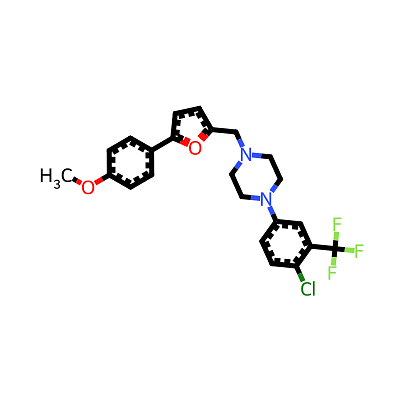 COc1ccc(-c2ccc(CN3CCN(c4ccc(Cl)c(C(F)(F)F)c4)CC3)o2)cc1